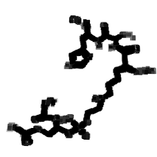 CCCC(=O)OC(COC(=O)CC)OP(=O)(O)OCCNCCCCC(NC(C)=O)C(=O)NC(C)C(=O)NC(Cc1c[nH]cn1)C(=O)O